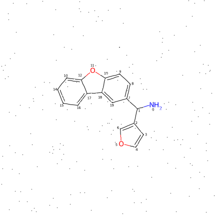 NC(c1ccoc1)c1ccc2oc3ccccc3c2c1